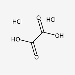 Cl.Cl.O=C(O)C(=O)O